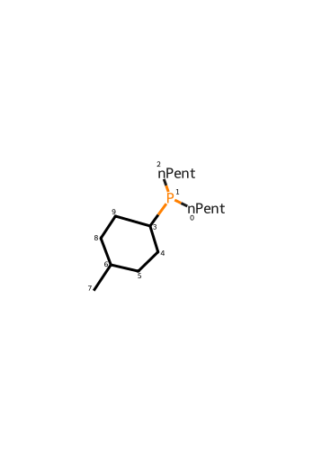 CCCCCP(CCCCC)C1CCC(C)CC1